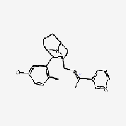 C/C(=C\CC1=C(c2cc(Cl)ccc2C)C2CCC(C1)N2C)c1cccnc1